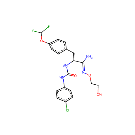 N/C(=N\OCCO)[C@H](Cc1ccc(OC(F)F)cc1)NC(=O)Nc1ccc(Cl)cc1